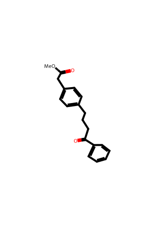 COC(=O)Cc1ccc(CCCC(=O)c2ccccc2)cc1